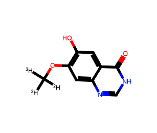 [2H]C([2H])([2H])Oc1cc2nc[nH]c(=O)c2cc1O